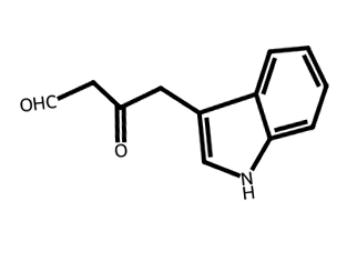 O=CCC(=O)Cc1c[nH]c2ccccc12